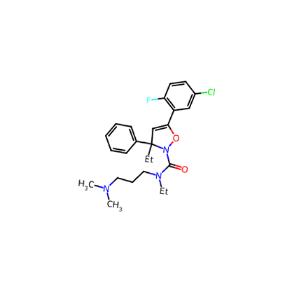 CCN(CCCN(C)C)C(=O)N1OC(c2cc(Cl)ccc2F)=CC1(CC)c1ccccc1